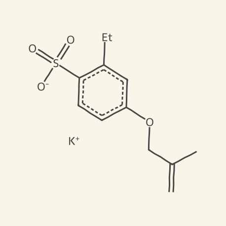 C=C(C)COc1ccc(S(=O)(=O)[O-])c(CC)c1.[K+]